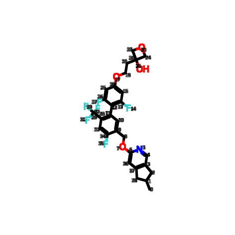 CC1Cc2cnc(OCc3cc(-c4c(F)cc(OCCC5(O)COC5)cc4F)c(C(F)(F)F)cc3F)cc2C1